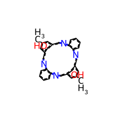 Cc1cc2cnc3ccccc3ncc3cc(C)cc(cnc4ccccc4ncc(c1)c2O)c3O